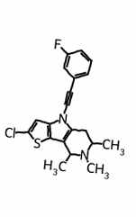 CC1Cc2c(c3sc(Cl)cc3n2C#Cc2cccc(F)c2)C(C)N1C